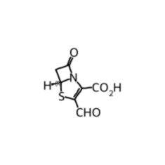 O=CC1=C(C(=O)O)N2C(=O)C[C@H]2S1